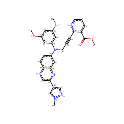 COC(=O)c1cccnc1C#CCN(c1cc(OC)cc(OC)c1)c1ccc2ncc(-c3cnn(C)c3)nc2c1